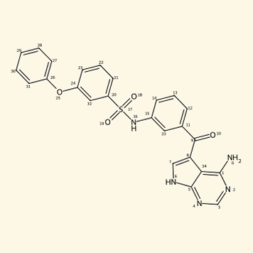 Nc1ncnc2[nH]cc(C(=O)c3cccc(NS(=O)(=O)c4cccc(Oc5ccccc5)c4)c3)c12